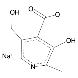 Cc1ncc(CO)c(C(=O)[O-])c1O.[Na+]